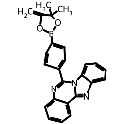 C=C1OB(c2ccc(-c3nc4ccccc4c4nc5ccccc5n34)cc2)OC1(C)C